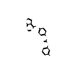 O=C(Nc1ccc(Oc2ncnc3sccc23)cc1)Nc1cccc(F)c1